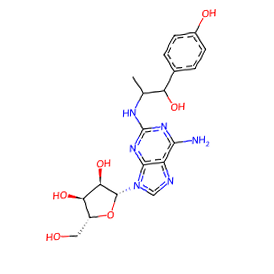 CC(Nc1nc(N)c2ncn([C@@H]3O[C@H](CO)[C@@H](O)[C@H]3O)c2n1)C(O)c1ccc(O)cc1